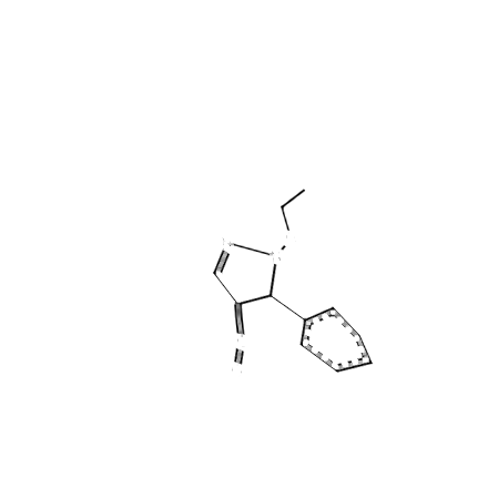 CCON1N=CC(=C=O)C1c1ccccc1